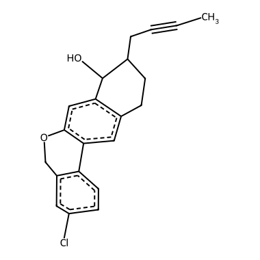 CC#CCC1CCc2cc3c(cc2C1O)OCc1cc(Cl)ccc1-3